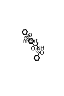 CCCCCC=C(NOC(=O)c1ccccc1)C(=O)c1ccc(S(=O)(=O)c2ccccc2)cc1